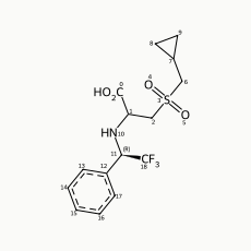 O=C(O)C(CS(=O)(=O)CC1CC1)N[C@H](c1ccccc1)C(F)(F)F